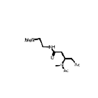 CNCCNC(=O)CC(CC(C)=O)N(C)C(C)=O